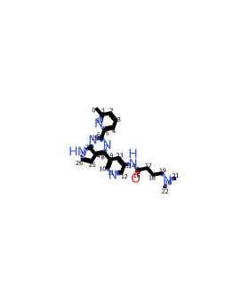 Cc1cccc(-c2nc(-c3cncc(NC(=O)CCCN(C)C)c3)c3cc[nH]c3n2)n1